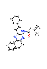 CC(C)CC(=O)Nc1nc2c(nc1CCC1CCCCC1)-c1ccccc1CC2